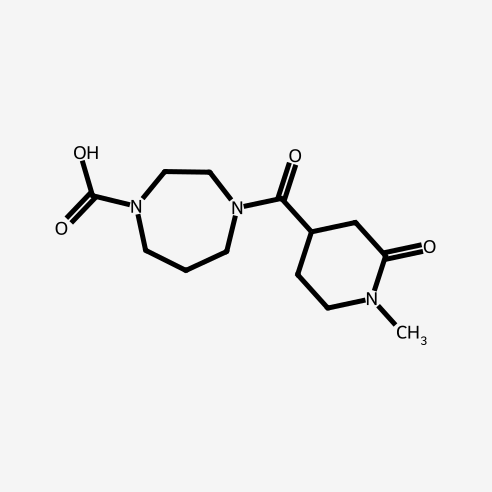 CN1CCC(C(=O)N2CCCN(C(=O)O)CC2)CC1=O